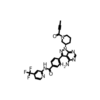 CC#CC(=O)N1CCC[C@@H](n2nc(-c3ccc(C(=O)Nc4cc(C(F)(F)F)ccn4)cc3)c3c(N)ncnc32)C1